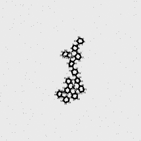 c1ccc(-c2ccc3c(c2)-c2cccc4c2B2N3c3nccnc3N2c2ccc(-c3ccc(-c5ccc6c(c5)N5B7c8c(cc(-c9ccccc9-c9ccccc9)cc8-c8ccccc85)-c5ccccc5N7c5ccccc5-6)cc3)cc2-4)cc1